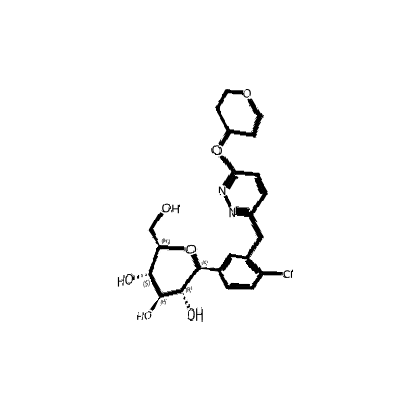 OC[C@H]1O[C@@H](c2ccc(Cl)c(Cc3ccc(OC4CCOCC4)nn3)c2)[C@H](O)[C@@H](O)[C@@H]1O